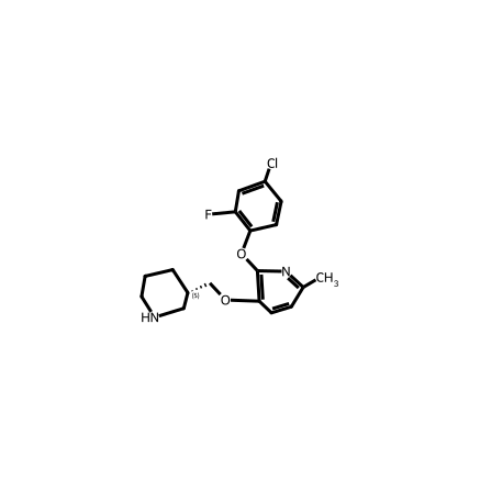 Cc1ccc(OC[C@H]2CCCNC2)c(Oc2ccc(Cl)cc2F)n1